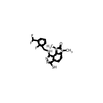 Cn1c(=O)n(C)c2c3c(NCc4cccc(C(F)F)c4F)nnc(S)c3ccc21